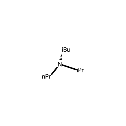 CCCN(C(C)C)[C@@H](C)CC